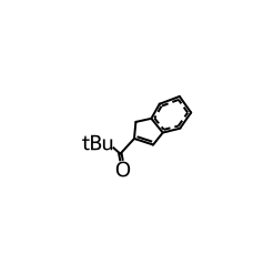 CC(C)(C)C(=O)C1=Cc2ccccc2C1